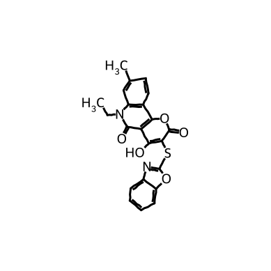 CCn1c(=O)c2c(O)c(Sc3nc4ccccc4o3)c(=O)oc2c2ccc(C)cc21